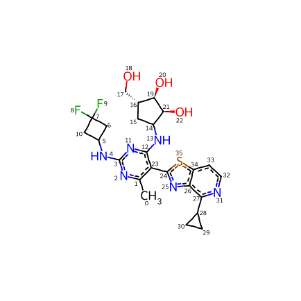 Cc1nc(NC2CC(F)(F)C2)nc(NC2C[C@H](CO)[C@@H](O)[C@H]2O)c1-c1nc2c(C3CC3)nccc2s1